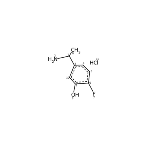 CC(N)c1ccc(F)c(O)c1.Cl